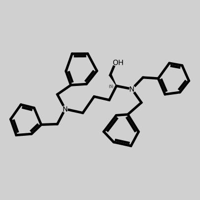 OC[C@H](CCCN(Cc1ccccc1)Cc1ccccc1)N(Cc1ccccc1)Cc1ccccc1